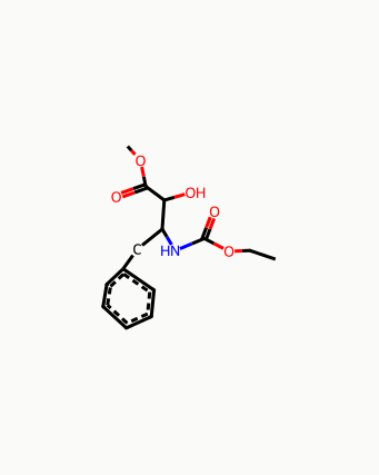 CCOC(=O)NC(Cc1ccccc1)C(O)C(=O)OC